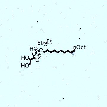 CCCCCCCC/C=C\CCCCCCCCOP(=O)(O)OC(=O)C(O)CO.CCOCC